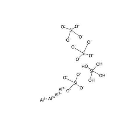 O[Si](O)(O)O.[Al+3].[Al+3].[Al+3].[Al+3].[O-][Si]([O-])([O-])[O-].[O-][Si]([O-])([O-])[O-].[O-][Si]([O-])([O-])[O-]